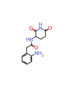 Nc1ccccc1CC(=O)NC1CCC(=O)NC1=O